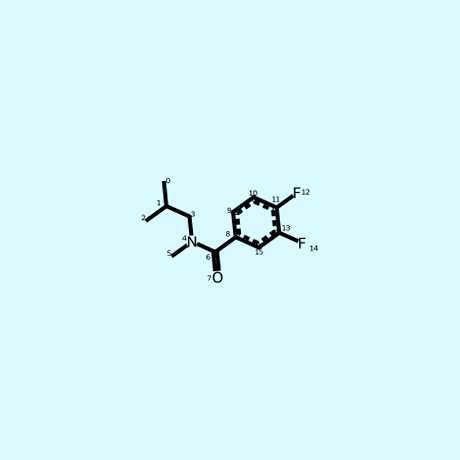 CC(C)CN(C)C(=O)c1ccc(F)c(F)c1